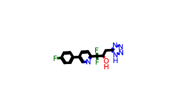 OC(Cc1nnn[nH]1)C(F)(F)c1ccc(-c2ccc(F)cc2)cn1